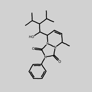 CC(C)C(C(C)C)C(O)C1C=CC(C)n2c(=O)n(-c3ccccc3)c(=O)n21